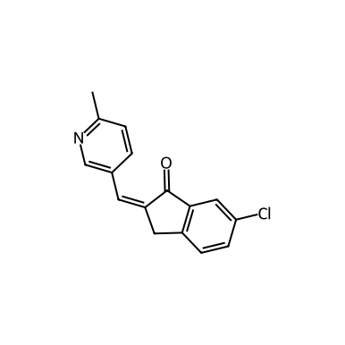 Cc1ccc(C=C2Cc3ccc(Cl)cc3C2=O)cn1